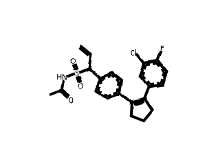 C=CC(c1ccc(C2=C(c3ccc(F)c(Cl)c3)CCC2)cc1)S(=O)(=O)NC(C)=O